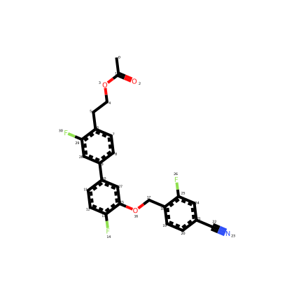 CC(=O)OCCc1ccc(-c2ccc(F)c(OCc3ccc(C#N)cc3F)c2)cc1F